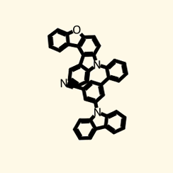 N#Cc1cc(-c2ccccc2-n2c3ccccc3c3c4c(ccc32)oc2ccccc24)cc(-n2c3ccccc3c3ccccc32)c1